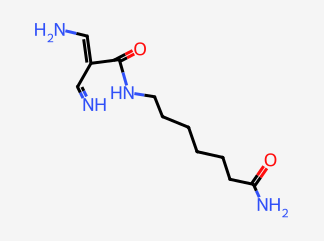 N=C/C(=C\N)C(=O)NCCCCCCC(N)=O